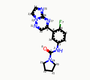 O=C(Nc1ccc(F)c(-c2cnn3ccnc3n2)c1)N1CCCC1